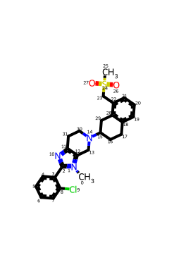 Cn1c(-c2ccccc2Cl)nc2c1CN(C1CCc3cccc(CS(C)(=O)=O)c3C1)CC2